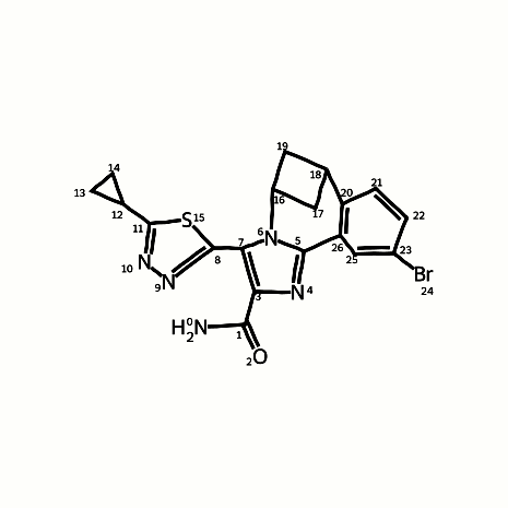 NC(=O)c1nc2n(c1-c1nnc(C3CC3)s1)C1CC(C1)c1ccc(Br)cc1-2